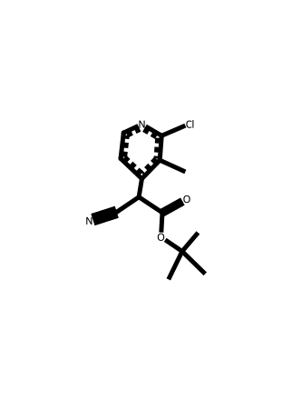 Cc1c(C(C#N)C(=O)OC(C)(C)C)ccnc1Cl